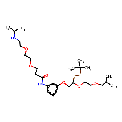 CC(C)COCCOC(COc1cccc(NC(=O)CCOCCOCCNC(C)C)c1)SSC(C)(C)C